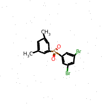 Cc1cc(C)cc(S(=O)(=O)c2cc(Br)cc(Br)c2)c1